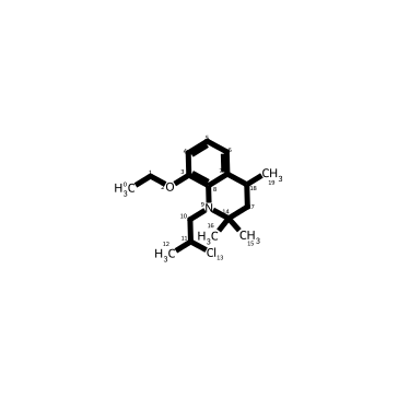 CCOc1cccc2c1N(CC(C)Cl)C(C)(C)CC2C